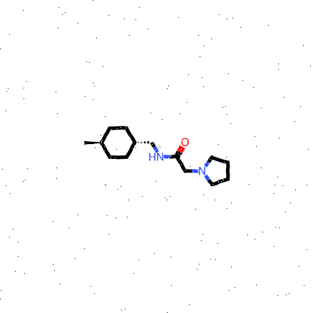 C[C@H]1CC[C@H](CNC(=O)CN2CCCC2)CC1